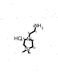 C[Si]1(C)CCN(CCN)CC1.Cl